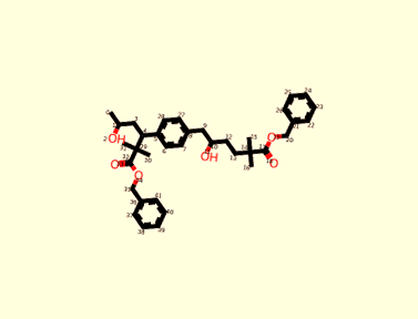 CC(O)CC(c1ccc(CC(O)CCC(C)(C)C(=O)OCc2ccccc2)cc1)C(C)(C)C(=O)OCc1ccccc1